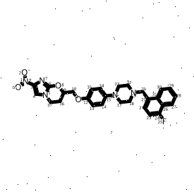 O=[N+]([O-])c1cn2c(n1)OC(COc1ccc(N3CCN(Cc4ccc(F)c5ccccc45)CC3)cc1)CC2